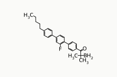 BC(C)(C)C(=O)c1ccc(-c2ccc(-c3ccc(CCCCC)cc3)cc2F)cc1